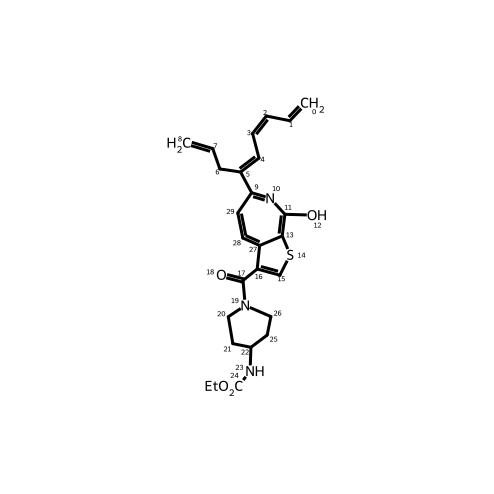 C=C/C=C\C=C(/CC=C)C1=NC(O)=c2scc(C(=O)N3CCC(NC(=O)OCC)CC3)c2=C=C1